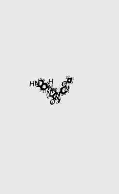 CCn1c(=O)c2cnc(Nc3ccc4c(c3)CCNC4)nc2n1-c1ccnc(OC2CCC2)c1